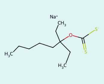 CCCCCC(CC)(CC)OC(=S)[S-].[Na+]